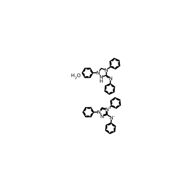 O.c1ccc(N=C2NN(c3ccccc3)CN2c2ccccc2)cc1.c1ccc([N-]c2nn(-c3ccccc3)c[n+]2-c2ccccc2)cc1